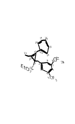 CCOC(=O)C1(c2cc(C(F)(F)F)cc(C(F)(F)F)c2)C(C)=C1c1ccccc1